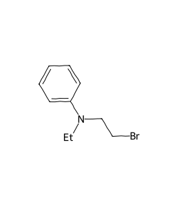 CCN(CCBr)c1ccccc1